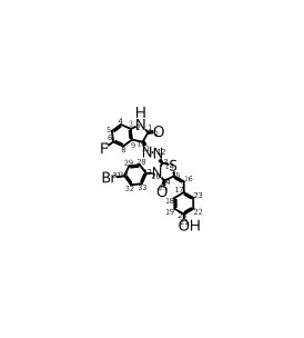 O=C1Nc2ccc(F)cc2C1=NN=C1SC(=Cc2ccc(O)cc2)C(=O)N1c1ccc(Br)cc1